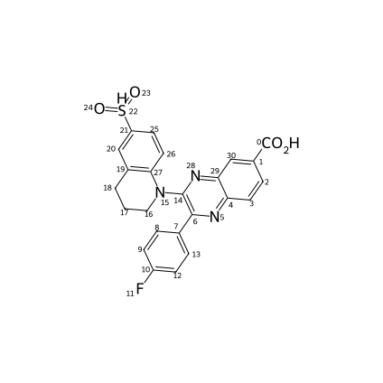 O=C(O)c1ccc2nc(-c3ccc(F)cc3)c(N3CCCc4cc([SH](=O)=O)ccc43)nc2c1